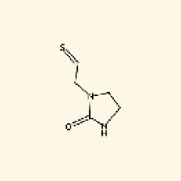 O=C1NCCN1CC=S